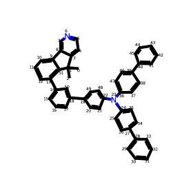 CC1(C)c2ccncc2-c2cccc(-c3cccc(-c4ccc(N(c5ccc(-c6ccccc6)cc5)c5ccc(-c6ccccc6)cc5)cc4)c3)c21